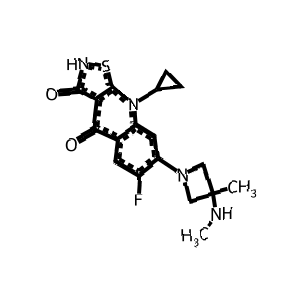 CNC1(C)CN(c2cc3c(cc2F)c(=O)c2c(=O)[nH]sc2n3C2CC2)C1